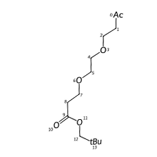 CC(=O)CCOCCOCCC(=O)OCC(C)(C)C